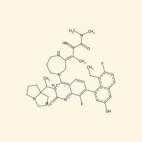 C=C(/N=C1/C(F)=C(c2cc(O)cc3ccc(F)c(CC)c23)C=C/C1=C(/C)N1CCCN/C(=C(/C)C(=N)C(=O)N(C)C)C1)OC(C)C12CCCN1CCC2